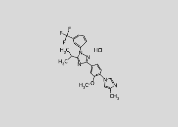 COc1cc(-c2nc(C(C)C)n(-c3cccc(C(F)(F)F)c3)n2)ccc1-n1cnc(C)c1.Cl